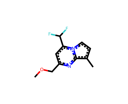 COCc1cc(C(F)F)n2ccc(C)c2n1